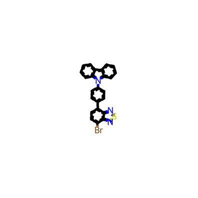 Brc1ccc(-c2ccc(-n3c4ccccc4c4ccccc43)cc2)c2nsnc12